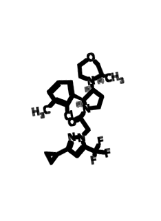 Cc1cccc([C@H]2[C@@H](N3CCOC[C@H]3C)CCN2C(=O)Cn2nc(C3CC3)cc2C(F)(F)F)c1Cl